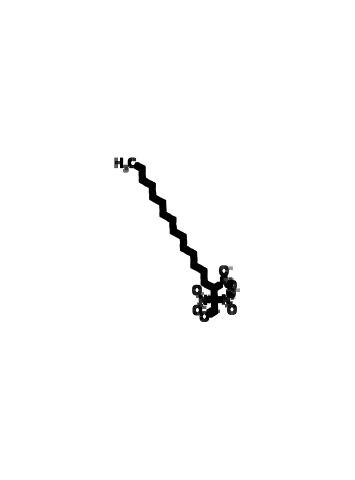 CCCCCCCCCCCCCCCC([N+](=O)[O-])C([C]=O)([N+](=O)[O-])[N+](=O)[O-]